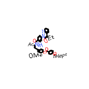 CCCCCCCOc1ccc(C(=O)Oc2ccc(CC(NC(=O)c3ccc(NC(=O)C(CC)c4ccccc4)cc3)C(C)=O)cc2OC)cc1